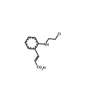 O=C(O)/C=C/c1ccccc1NCCCl